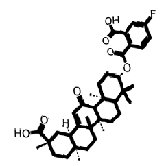 CC1(C)C2CC[C@]3(C)C(C(=O)C=C4[C@@H]5C[C@@](C)(C(=O)O)CC[C@]5(C)CCC43C)[C@@]2(C)CC[C@@H]1OC(=O)c1ccc(F)cc1C(=O)O